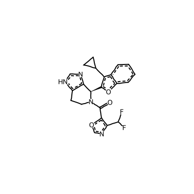 O=C(c1ocnc1C(F)F)N1CCc2[nH]cnc2[C@H]1c1oc2ccccc2c1C1CC1